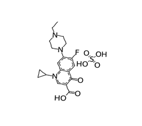 CCN1CCN(c2cc3c(cc2F)c(=O)c(C(=O)O)cn3C2CC2)CC1.O=S(=O)(O)O